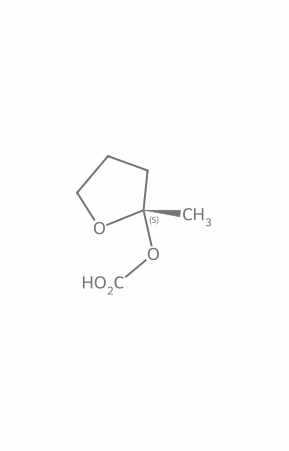 C[C@]1(OC(=O)O)CCCO1